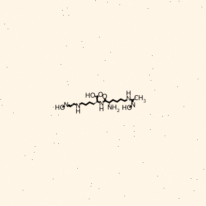 CC(=NO)NCCCC[C@H](N)C(=O)N[C@@H](CCCCNCC=NO)C(=O)O